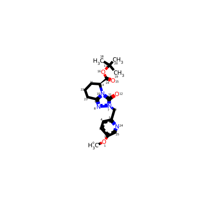 COc1ccc(Cn2nc3n(c2=O)[C@H](C(=O)OC(C)(C)C)CCC3)nc1